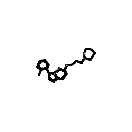 Cc1ccccc1-c1cnc2ccc(OCCCN3CCCCC3)nn12